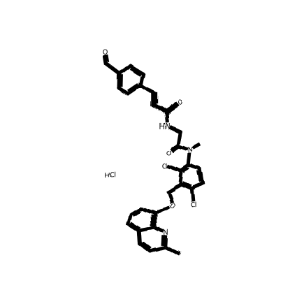 Cc1ccc2cccc(OCc3c(Cl)ccc(N(C)C(=O)CNC(=O)C=Cc4ccc(C=O)cc4)c3Cl)c2n1.Cl